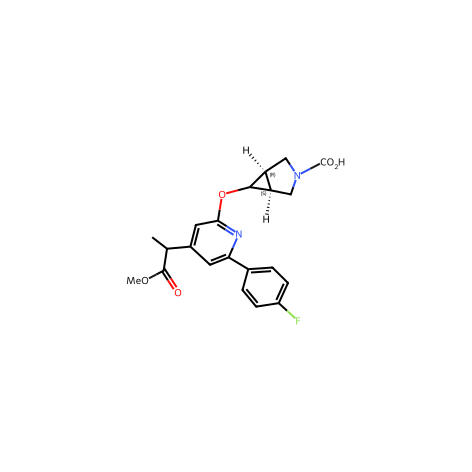 COC(=O)C(C)c1cc(OC2[C@H]3CN(C(=O)O)C[C@@H]23)nc(-c2ccc(F)cc2)c1